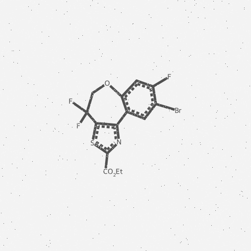 CCOC(=O)c1nc2c(s1)C(F)(F)COc1cc(F)c(Br)cc1-2